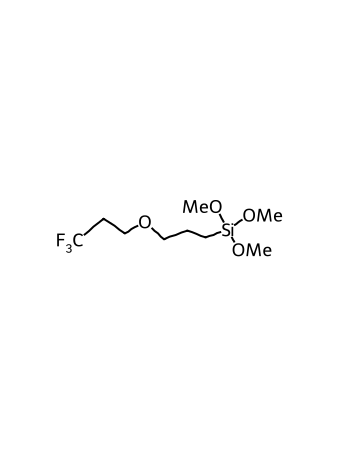 CO[Si](CCCOCCC(F)(F)F)(OC)OC